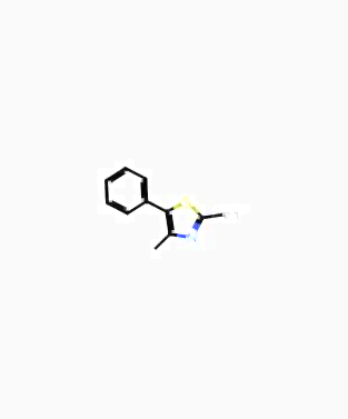 Cc1nc(C(C)C)sc1-c1ccccc1